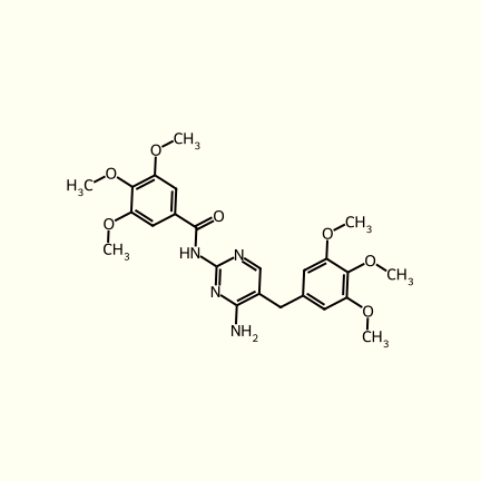 COc1cc(Cc2cnc(NC(=O)c3cc(OC)c(OC)c(OC)c3)nc2N)cc(OC)c1OC